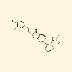 CC(=O)Nc1ccccc1-c1ccc2[nH]c(/C=C/c3ccc(F)c(F)c3)nc2c1